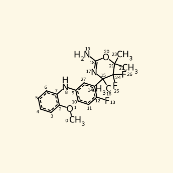 COc1ccccc1Nc1ccc(F)c(C2(C)N=C(N)OC(C)(C)C2(F)F)c1